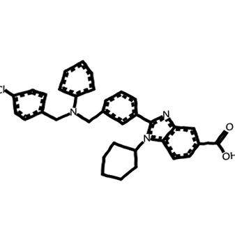 O=C(O)c1ccc2c(c1)nc(-c1cccc(CN(Cc3ccc(Cl)cc3)c3ccccc3)c1)n2C1CCCCC1